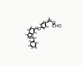 O=COC1CC1c1ccc(OCc2ccc3cnn(Cc4ccccc4)c3c2)cc1